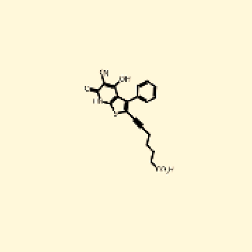 N#Cc1c(O)c2c(-c3ccccc3)c(C#CCCCCC(=O)O)sc2[nH]c1=O